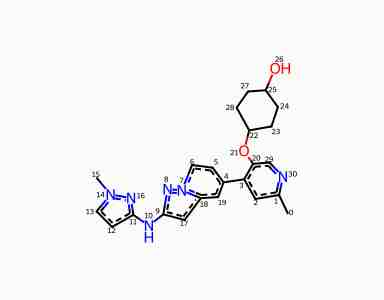 Cc1cc(-c2ccn3nc(Nc4ccn(C)n4)cc3c2)c(OC2CCC(O)CC2)cn1